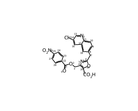 O=C(OCc1nc(Cc2ccc3ncc(Cl)cc3c2)oc1C(=O)O)c1ccc([N+](=O)[O-])cc1